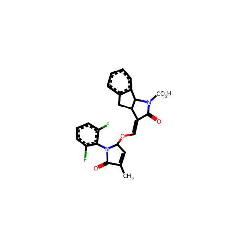 CC1=CC(OC=C2C(=O)N(C(=O)O)C3c4ccccc4CC23)N(c2c(F)cccc2F)C1=O